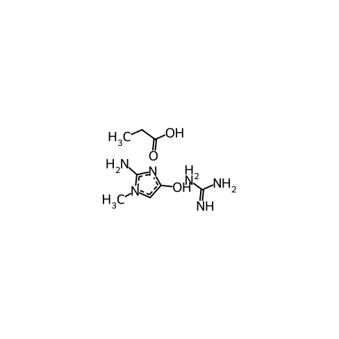 CCC(=O)O.Cn1cc(O)nc1N.N=C(N)N